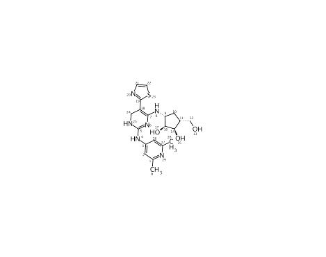 Cc1cc(NC2=NC(N[C@@H]3C[C@H](CO)[C@@H](O)[C@H]3O)=C(c3nccs3)CN2)cc(C)n1